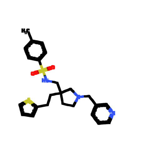 Cc1ccc(S(=O)(=O)NCC2(CCc3cccs3)CCN(Cc3cccnc3)C2)cc1